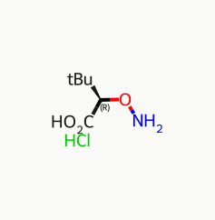 CC(C)(C)[C@@H](ON)C(=O)O.Cl